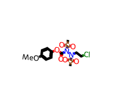 COc1ccc(OC(=O)N(N(CCCl)S(C)(=O)=O)S(C)(=O)=O)cc1